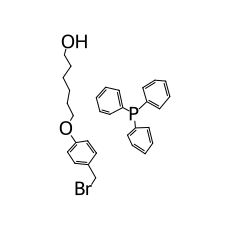 OCCCCCCOc1ccc(CBr)cc1.c1ccc(P(c2ccccc2)c2ccccc2)cc1